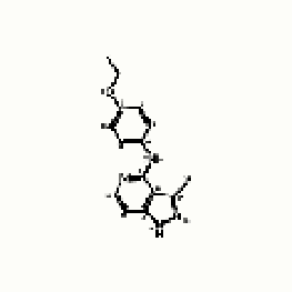 CCOc1ccc(Nc2nccc3[nH]nc(C)c23)cc1